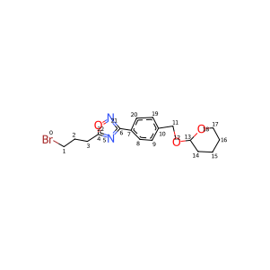 BrCCCc1nc(-c2ccc(COC3CCCCO3)cc2)no1